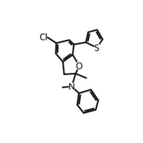 CN(c1ccccc1)C1(C)Cc2cc(Cl)cc(-c3cccs3)c2O1